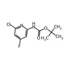 CC(C)(C)OC(=O)Nc1cc(F)cc(Cl)n1